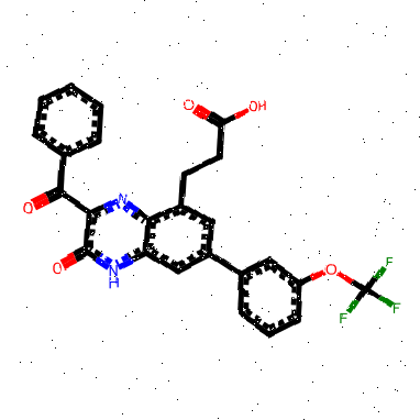 O=C(O)CCc1cc(-c2cccc(OC(F)(F)F)c2)cc2[nH]c(=O)c(C(=O)c3ccccc3)nc12